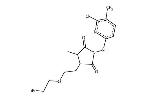 CC(C)CCOCCC1C(=O)N(Nc2ccc(C(F)(F)F)c(Cl)n2)C(=O)C1C